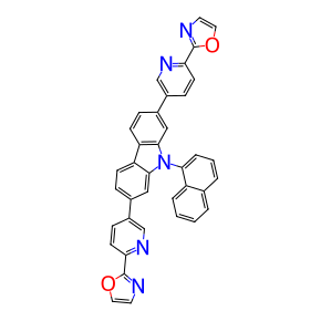 c1ccc2c(-n3c4cc(-c5ccc(-c6ncco6)nc5)ccc4c4ccc(-c5ccc(-c6ncco6)nc5)cc43)cccc2c1